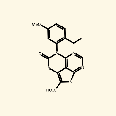 COc1ccc(CI)c(N2C(=O)Nc3c(C(=O)O)sc4ncnc2c34)c1